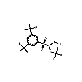 CON(SC(F)(F)F)S(=O)(=O)c1cc(C(F)(F)F)cc(C(F)(F)F)c1